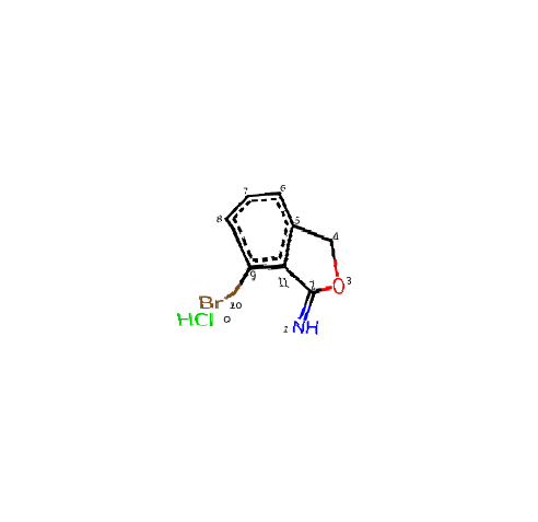 Cl.N=C1OCc2cccc(Br)c21